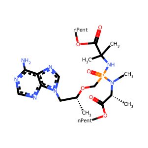 CCCCCOC(=O)[C@@H](C)N(C)P(=O)(CO[C@H](C)Cn1cnc2c(N)ncnc21)NC(C)(C)C(=O)OCCCCC